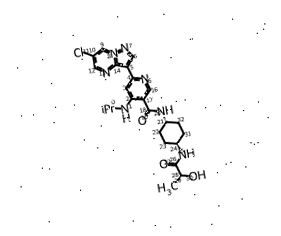 CC(C)Nc1cc(-c2cnn3cc(Cl)cnc23)ncc1C(=O)N[C@H]1CC[C@H](NC(=O)[C@H](C)O)CC1